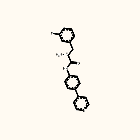 N[C@H](Cc1cccc(F)c1)C(=O)Nc1ccc(-c2ccncc2)cc1